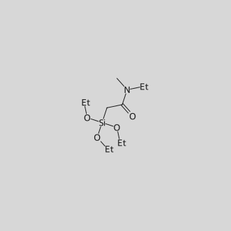 CCO[Si](CC(=O)N(C)CC)(OCC)OCC